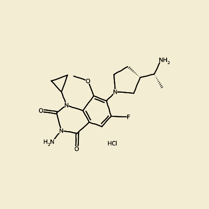 COc1c(N2CC[C@H]([C@@H](C)N)C2)c(F)cc2c(=O)n(N)c(=O)n(C3CC3)c12.Cl